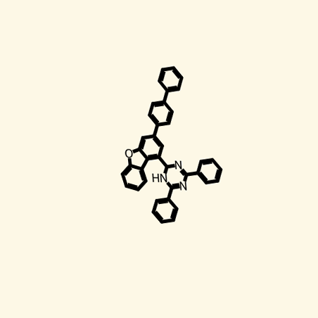 c1ccc(C2=NC(c3cc(-c4ccc(-c5ccccc5)cc4)cc4oc5ccccc5c34)NC(c3ccccc3)=N2)cc1